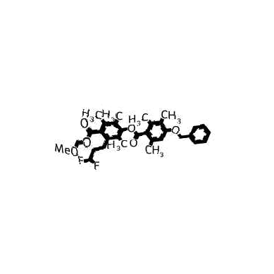 COCOC(=O)c1c(C)c(C)c(OC(=O)c2c(C)cc(OCc3ccccc3)c(C)c2C)c(C)c1CCC(F)F